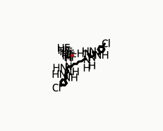 F.F.F.F.F.F.N=C(NCCCCCCNC(=N)NC(=N)Nc1ccc(Cl)cc1)NC(=N)Nc1ccc(Cl)cc1